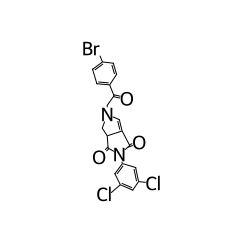 O=C(CN1C=C2C(=O)N(c3cc(Cl)cc(Cl)c3)C(=O)C2C1)c1ccc(Br)cc1